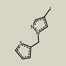 Ic1cnn(Cc2cccs2)c1